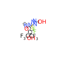 C[C@H]1CCCN1C(=O)c1nc(-c2nnc(C(C)(C)O)n2C)sc1-c1ccc(C(O)(C(F)(F)F)C(F)(F)F)cc1C(F)F